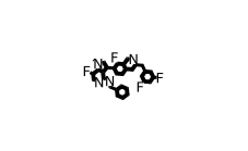 Cn1cc(-c2ccc3cc(Cc4cc(F)cc(F)c4)ncc3c2F)c2c(N=Cc3ccccc3)ncc(F)c21